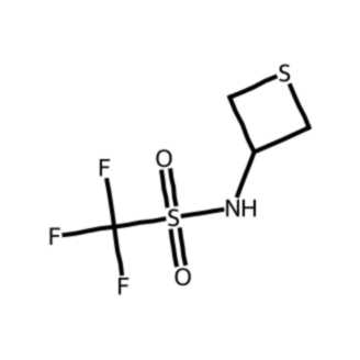 O=S(=O)(NC1CSC1)C(F)(F)F